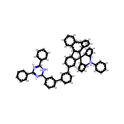 c1ccc(C2=NC(c3cccc(-c4cccc(-c5ccc6c(c5)C5(c7ccccc7N(c7ccccc7)c7ccccc75)c5c-6c6ccccc6c6ccccc56)c4)c3)NC(c3ccccc3)=N2)cc1